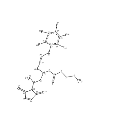 CCCCC(=O)CN(CC(C)N1C(=O)C=CC1=O)SB=COc1c(F)c(F)c(F)c(F)c1F